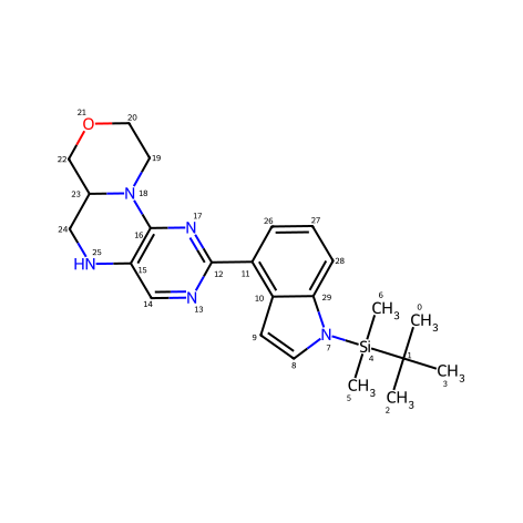 CC(C)(C)[Si](C)(C)n1ccc2c(-c3ncc4c(n3)N3CCOCC3CN4)cccc21